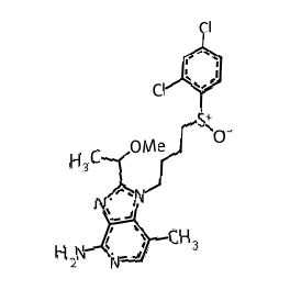 COC(C)c1nc2c(N)ncc(C)c2n1CCCC[S+]([O-])c1ccc(Cl)cc1Cl